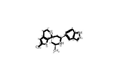 C[C@H]1C[C@@]2(C[C@@H](c3ccc4[nH]ncc4c3)N1)OCCc1cc(Cl)sc12